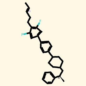 C/C=C/CCc1c(F)cc(-c2ccc(C3CCC(C[C@@H](C)c4ccccc4)CC3)cc2)cc1F